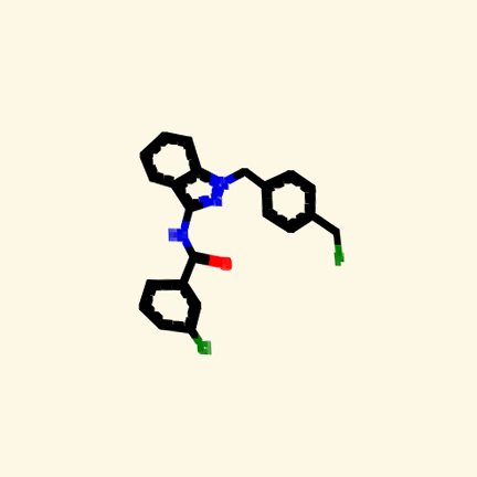 O=C(Nc1nn(Cc2ccc(CF)cc2)c2ccccc12)c1cccc(Cl)c1